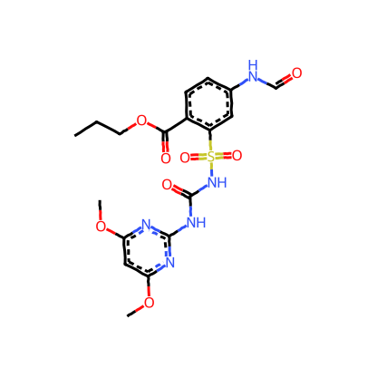 CCCOC(=O)c1ccc(NC=O)cc1S(=O)(=O)NC(=O)Nc1nc(OC)cc(OC)n1